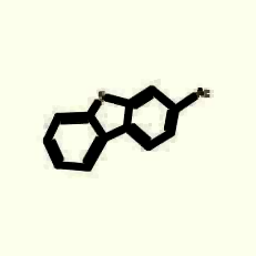 CC(=O)c1ccc2c(c1)sc1ccccc12